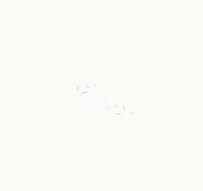 CCCCCCCCCCc1ccc(NC(=O)[C@@H]2CCN(/C(=N/C(=O)OC(C)(C)C)NC(=O)OC(C)(C)C)C2)cc1